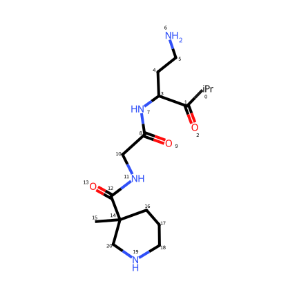 CC(C)C(=O)C(CCN)NC(=O)CNC(=O)C1(C)CCCNC1